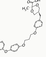 C[C@]1(C(=O)O)OC[C@@H](Cc2ccc(OCCCOc3ccc(Oc4ccccc4)cc3)cc2)CO1